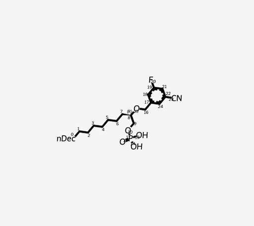 CCCCCCCCCCCCCCCCC[C@H](COP(=O)(O)O)OCc1cc(F)cc(C#N)c1